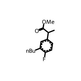 CCCCc1cc(C(C)C(=O)OC)ccc1F